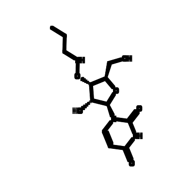 CCCNO[C@H]1[C@@H](O)[C@H](n2ccc(=O)[nH]c2=O)O[C@@H]1CO